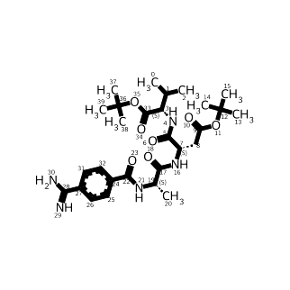 CC(C)[C@H](NC(=O)[C@H](CC(=O)OC(C)(C)C)NC(=O)[C@H](C)NC(=O)c1ccc(C(=N)N)cc1)C(=O)OC(C)(C)C